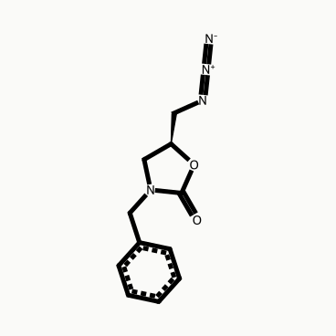 [N-]=[N+]=NC[C@@H]1CN(Cc2ccccc2)C(=O)O1